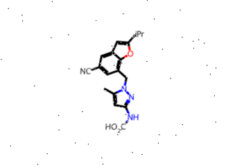 Cc1cc(NC(=O)O)nn1Cc1cc(C#N)cc2cc(C(C)C)oc12